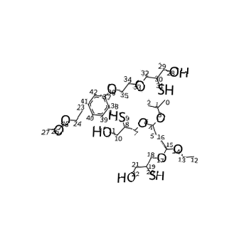 CC(C)OC(C)OCC(S)CO.CCOC(C)OCC(S)CO.CCOOC.OCC(S)COCCOc1ccccc1